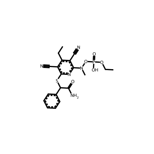 CCOP(=O)(O)ON(C)c1nc(SC(C(N)=O)c2ccccc2)c(C#N)c(CC)c1C#N